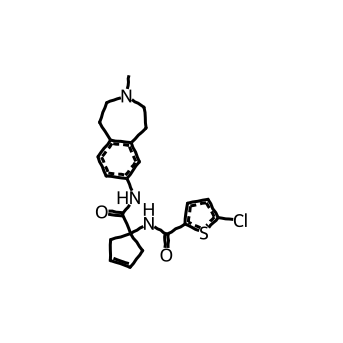 CN1CCc2ccc(NC(=O)C3(NC(=O)c4ccc(Cl)s4)CC=CC3)cc2CC1